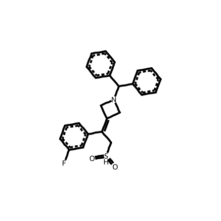 O=[SH](=O)CC(=C1CN(C(c2ccccc2)c2ccccc2)C1)c1cccc(F)c1